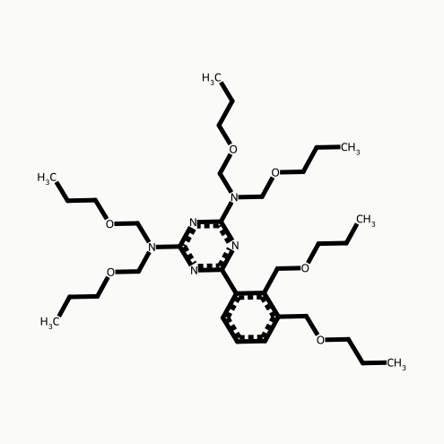 CCCOCc1cccc(-c2nc(N(COCCC)COCCC)nc(N(COCCC)COCCC)n2)c1COCCC